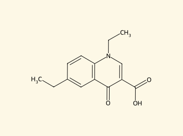 CCc1ccc2c(c1)c(=O)c(C(=O)O)cn2CC